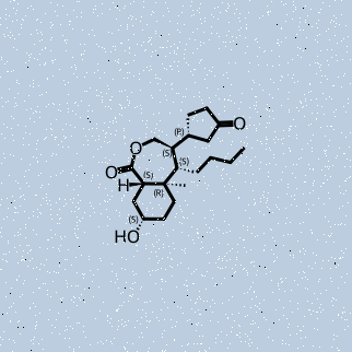 CCCC[C@H]1[C@H]([C@@H]2CCC(=O)C2)COC(=O)[C@H]2C[C@@H](O)CC[C@@]21C